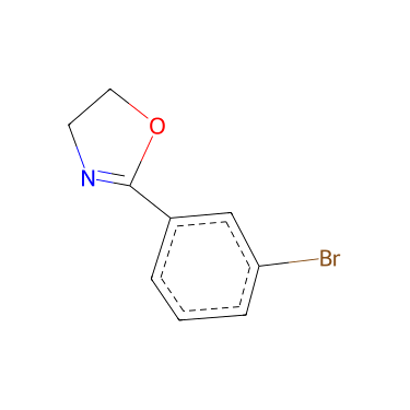 Brc1cccc(C2=NCCO2)c1